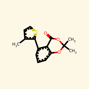 Cc1ccsc1-c1cccc2c1C(=O)OC(C)(C)O2